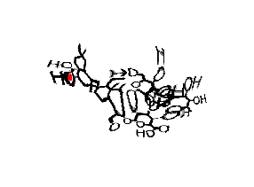 CCC1C2(C)C(C)C[C@H](O[C@@H]3OC(C(=O)O)[C@@H](O)C(O[C@@H]4OC(C)[C@H](O)C(O)C4O)C3O[C@@H]3OC(CO)[C@H](O)C(O)C3O)C(C=O)C2CCC12C=C1C3CC(C)(C)CC[C@]3(C(=O)O)[C@@H](O)CC12C